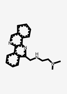 CN(C)CCNCc1nc2c3ccccc3cnc2c2ccccc12